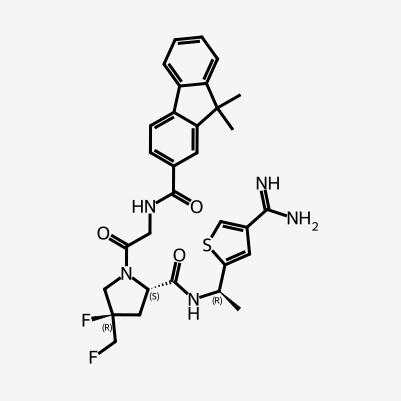 C[C@@H](NC(=O)[C@@H]1C[C@](F)(CF)CN1C(=O)CNC(=O)c1ccc2c(c1)C(C)(C)c1ccccc1-2)c1cc(C(=N)N)cs1